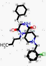 CCCCN1C(=O)[C@H](CC2CCCCC2)NC(=O)C12CCN(Cc1ccccc1Cl)CC2